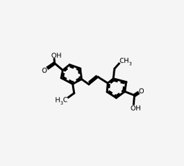 CCc1cc(C(=O)O)ccc1/C=C/c1ccc(C(=O)O)cc1CC